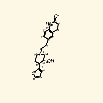 O=C1CCc2cc(CCN3CC[C@H](c4cccs4)[C@@H](O)C3)ccc2N1